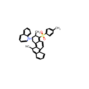 C1=CNc2ccccc2C=C1.Cc1ccc(S(=O)(=O)C2=c3ccc4c(c3CCC2C)C(C#N)C=c2ccccc2=4)cc1